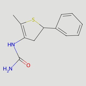 CC1=C(NC(N)=O)CC(c2ccccc2)S1